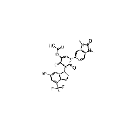 Cn1c(=O)n(C)c2cc(-n3cc(OC(=O)O)c(=O)n(C4CCc5c4cc(Br)cc5C(F)(F)F)c3=O)ccc21